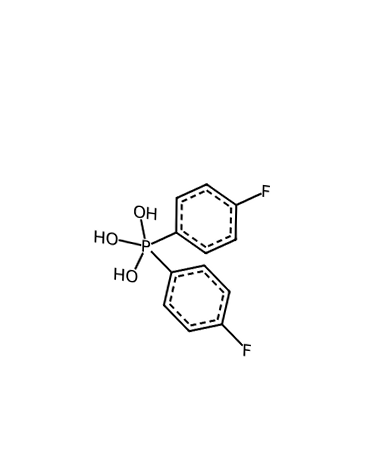 OP(O)(O)(c1ccc(F)cc1)c1ccc(F)cc1